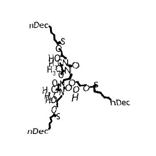 CCCCCCCCCCCCCCC(=S)OCC(O)COC(CN1C(=O)N(CC(O)COC(=S)CCCCCCCCCCCCCC)C(C)(C)C1=O)CN1C(=O)N(CC(O)COC(=S)CCCCCCCCCCCCCC)C(C)(C)C1=O